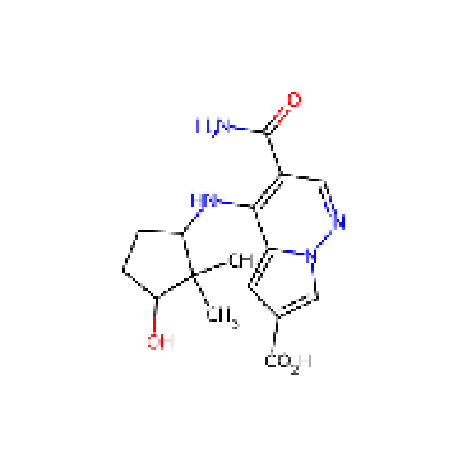 CC1(C)C(O)CCC1Nc1c(C(N)=O)cnn2cc(C(=O)O)cc12